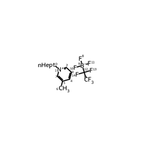 CCCCCCC[n+]1cccc(C)c1.F[B-](F)(F)C(F)(F)C(F)(F)F